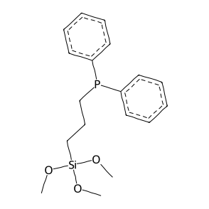 CO[Si](CCCP(c1ccccc1)c1ccccc1)(OC)OC